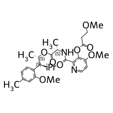 COCCC(=O)Oc1c(OC)ccnc1C(=O)N[C@@H](C)C(=O)O[C@@H](C)[C@H](c1ccc(C)cc1OC)C(C)C